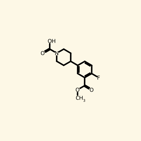 COC(=O)c1cc(C2CCN(C(=O)O)CC2)ccc1F